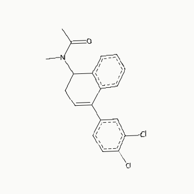 CC(=O)N(C)C1CC=C(c2ccc(Cl)c(Cl)c2)c2ccccc21